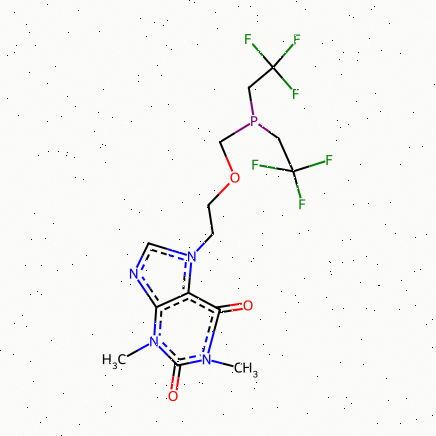 Cn1c(=O)c2c(ncn2CCOCP(CC(F)(F)F)CC(F)(F)F)n(C)c1=O